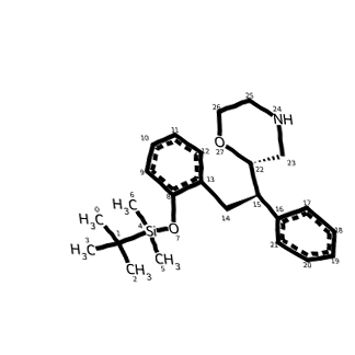 CC(C)(C)[Si](C)(C)Oc1ccccc1C[C@H](c1ccccc1)[C@H]1CNCCO1